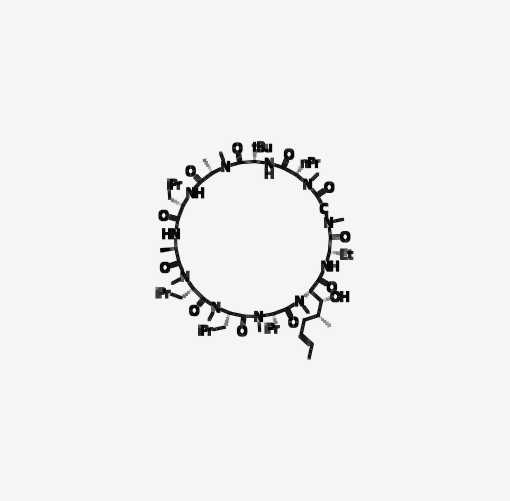 C/C=C/C[C@@H](C)[C@@H](O)[C@H]1C(=O)N[C@@H](CC)C(=O)N(C)CC(=O)N(C)[C@@H](CCC)C(=O)N[C@@H](C(C)(C)C)C(=O)N(C)[C@@H](C)C(=O)N[C@@H](CC(C)C)C(=O)N[C@H](C)C(=O)N(C)[C@@H](CC(C)C)C(=O)N(C)[C@@H](CC(C)C)C(=O)N(C)[C@@H](C(C)C)C(=O)N1C